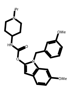 COc1cccc(Cn2c(OC(=O)NC3CCN(C(C)C)CC3)cc3ccc(OC)cc32)c1